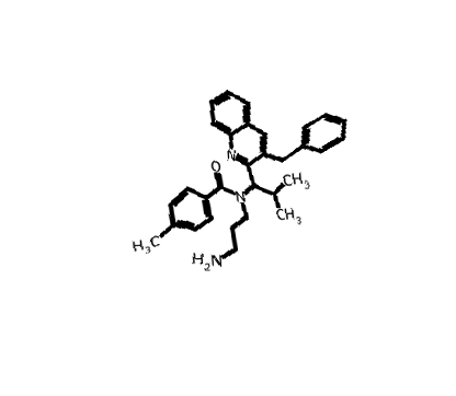 Cc1ccc(C(=O)N(CCCN)C(c2nc3ccccc3cc2Cc2ccccc2)C(C)C)cc1